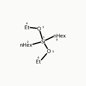 CCCCCC[Si](CCCCCC)(OCC)OCC